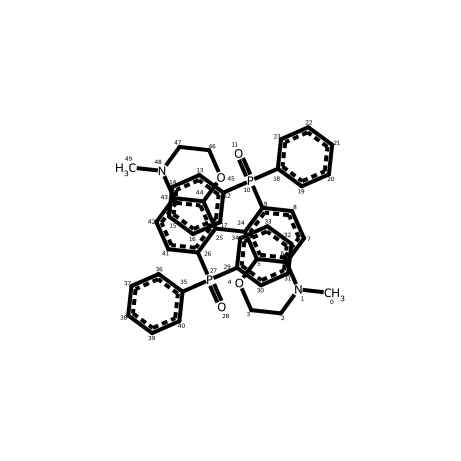 CN1CCOc2c1ccc(P(=O)(c1ccccc1)c1ccccc1)c2-c1c(P(=O)(c2ccccc2)c2ccccc2)ccc2c1OCCN2C